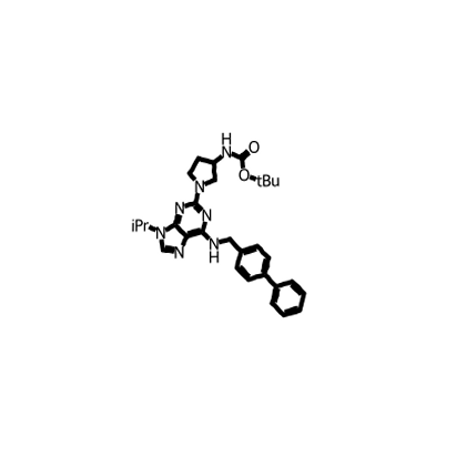 CC(C)n1cnc2c(NCc3ccc(-c4ccccc4)cc3)nc(N3CCC(NC(=O)OC(C)(C)C)C3)nc21